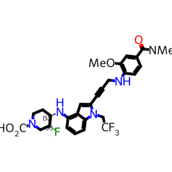 CNC(=O)c1ccc(NCC#Cc2cc3c(N[C@H]4CCN(C(=O)O)C[C@H]4F)cccc3n2CC(F)(F)F)c(OC)c1